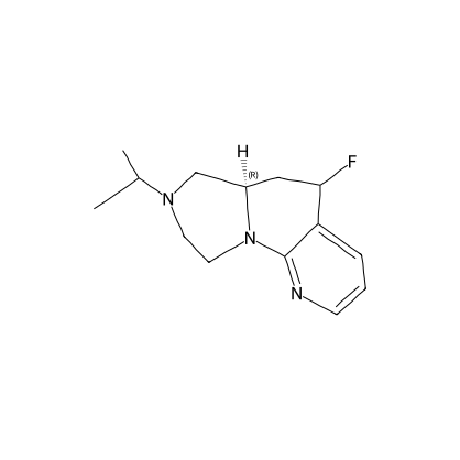 CC(C)N1CCN2c3ncccc3C(F)C[C@@H]2C1